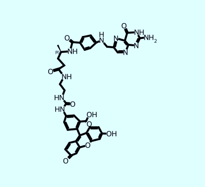 C[C@H](CCC(=O)NCCNC(=O)Nc1ccc(-c2c3ccc(=O)cc-3oc3cc(O)ccc23)c(C(=O)O)c1)NC(=O)c1ccc(NCc2cnc3nc(N)[nH]c(=O)c3n2)cc1